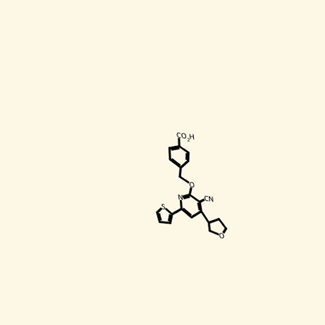 N#Cc1c(C2CCOC2)cc(-c2cccs2)nc1OCc1ccc(C(=O)O)cc1